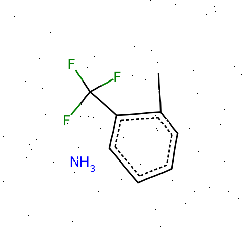 Cc1ccccc1C(F)(F)F.N